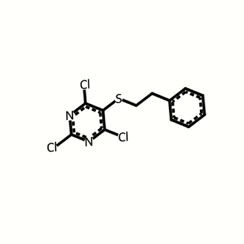 Clc1nc(Cl)c(SCCc2ccccc2)c(Cl)n1